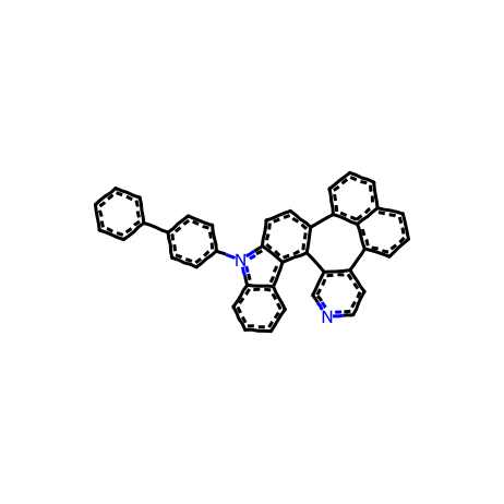 c1ccc(-c2ccc(-n3c4ccccc4c4c5c(ccc43)-c3cccc4cccc(c34)-c3ccncc3-5)cc2)cc1